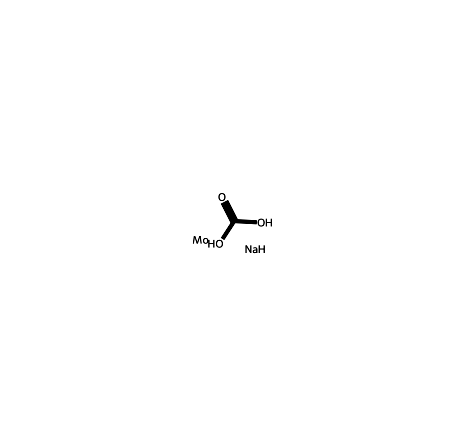 O=C(O)O.[Mo].[NaH]